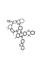 Cc1cc2c3c(c1)N1c4cc5c(cc4C)C(C)(C)CCC5(C)c4cc5c(cc4C(C)(C)C)C4(C)CCCCC4(C)N5c4ccc(c1c4)B3c1cc3c(cc1N2c1ccc2c(c1)sc1ccccc12)C(C)(C)c1ccccc1C3(C)C